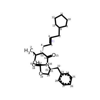 CC(C)[C@H](C/C=C/CC1CCCCC1)C(=O)N1C(=O)OC[C@@H]1Cc1ccccc1